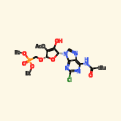 CCOP(=O)(CO[C@H]1O[C@@H](n2cnc3c(NC(=O)C(C)(C)C)nc(Cl)nc32)C(O)=C1OC(C)=O)OCC